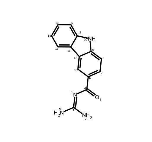 NC(N)=NC(=O)c1ccc2[nH]c3ccccc3c2c1